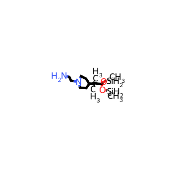 C[SiH2]OC(O[SiH2]C)C(C)(C)C1CCN(CCN)CC1